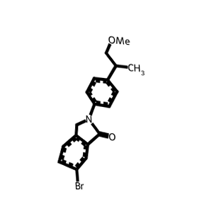 COCC(C)c1ccc(N2Cc3ccc(Br)cc3C2=O)cc1